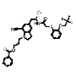 C[C@H](Cc1cc(C#N)c2c(c1)CCN2CCCOC(=O)c1ccccc1)NC(=O)COc1ccccc1OCC(F)(F)F